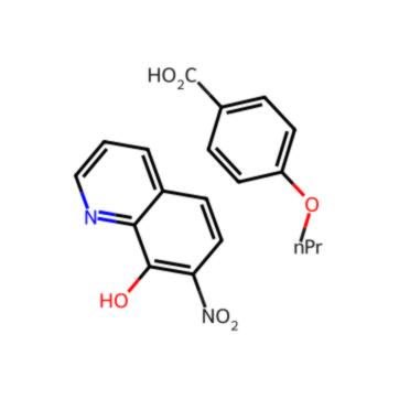 CCCOc1ccc(C(=O)O)cc1.O=[N+]([O-])c1ccc2cccnc2c1O